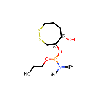 CC(C)N(C(C)C)P(OCCC#N)O[C@H]1CSSCCC[C@@H]1O